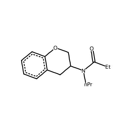 CCCN(C(=O)CC)C1COc2ccccc2C1